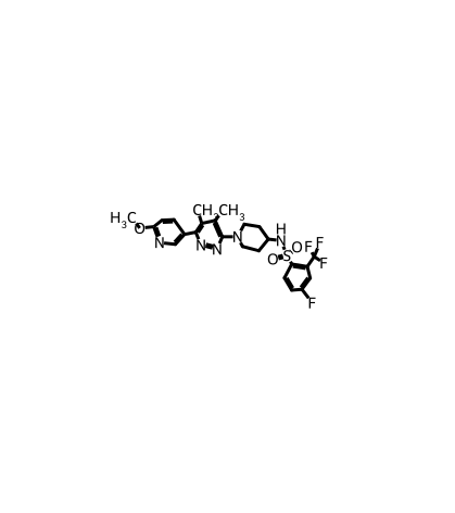 COc1ccc(-c2nnc(N3CCC(NS(=O)(=O)c4ccc(F)cc4C(F)(F)F)CC3)c(C)c2C)cn1